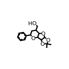 CC1(C)OC2OC3C(CO)CC(c4ccccc4)OC3C2O1